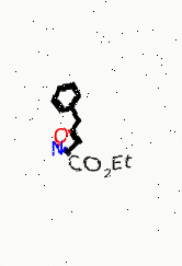 CCOC(=O)c1cc(Cc2ccccc2)on1